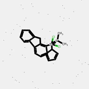 C[Si](C)=[Zr]([Cl])([Cl])([c]1cccc2c1Cc1ccccc1-2)[CH]1C=CC=C1